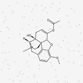 COc1ccc2c3c1OC1C(OC(C)=O)=CC[C@@]4(O)[C@@H](C2)N(C)CC[C@]314